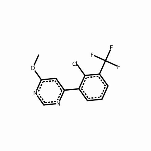 COc1cc(-c2cccc(C(F)(F)F)c2Cl)ncn1